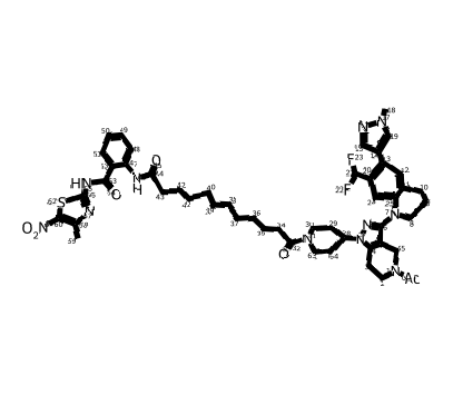 CC(=O)N1CCc2c(c(N3CCCc4cc(-c5cnn(C)c5)c(C(F)F)cc43)nn2C2CCN(C(=O)CCCCCCCCCCC(=O)Nc3ccccc3C(=O)Nc3nc(C)c([N+](=O)[O-])s3)CC2)C1